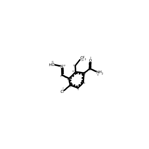 NC(=O)c1ccc(Cl)c(C=NO)c1CC(F)(F)F